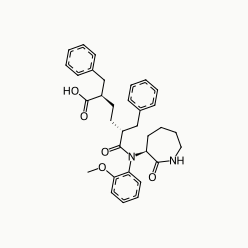 COc1ccccc1N(C(=O)[C@H](CC[C@H](Cc1ccccc1)C(=O)O)Cc1ccccc1)[C@H]1CCCCNC1=O